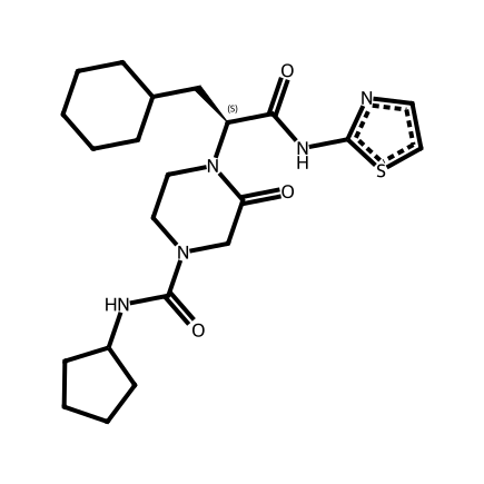 O=C(Nc1nccs1)[C@H](CC1CCCCC1)N1CCN(C(=O)NC2CCCC2)CC1=O